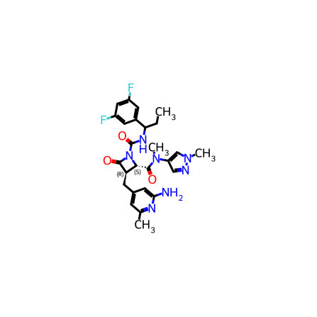 CCC(NC(=O)N1C(=O)[C@H](Cc2cc(C)nc(N)c2)[C@H]1C(=O)N(C)c1cnn(C)c1)c1cc(F)cc(F)c1